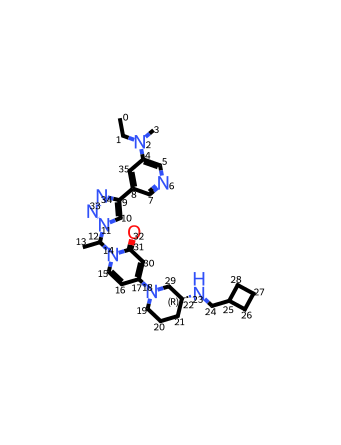 CCN(C)c1cncc(-c2cn(C(C)n3ccc(N4CCC[C@@H](NCC5CCC5)C4)cc3=O)nn2)c1